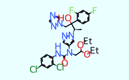 CCOC(CN(C(=O)Nc1ccc(Cl)cc1Cl)c1cnn([C@H](C)[C@](O)(Cn2cncn2)c2ccc(F)cc2F)c1)OCC